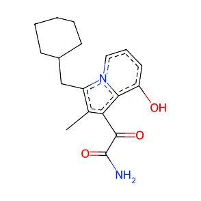 Cc1c(C(=O)C(N)=O)c2c(O)cccn2c1CC1CCCCC1